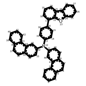 c1ccc2c(c1)ccc1ccc(N(c3ccc(-c4cccc5c4oc4ccccc45)cc3)c3ccc4ccc5ccccc5c4c3)cc12